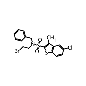 Cc1c(S(=O)(=O)N(CCBr)Cc2ccccc2)sc2ccc(Cl)cc12